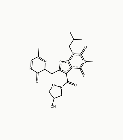 CC1=NC(Cc2sc3c(c2C(=O)N2CC(O)CO2)c(=O)n(C)c(=O)n3CC(C)C)C(=O)N=C1